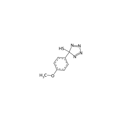 COc1ccc(C2(S)N=NN=N2)cc1